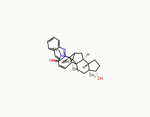 COC1(c2ccc3ccccc3n2)C2C[C@H]3[C@@H]4CC[C@H](O)[C@@]4(C)CCC31[C@@]1(C)C=CC(=O)N(C)[C@H]21